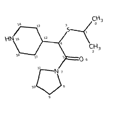 CC(C)SC(C(=O)N1CCCC1)C1CCNCC1